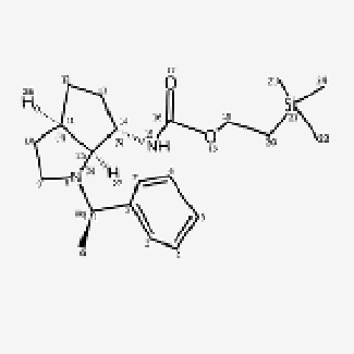 C[C@H](c1ccccc1)N1CC[C@H]2CC[C@H](NC(=O)OCC[Si](C)(C)C)[C@H]21